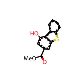 COC(=O)c1cc(O)c2c(c1)sc1ccccc12